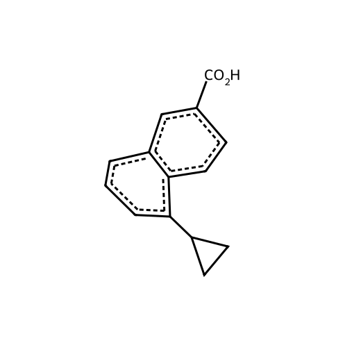 O=C(O)c1ccc2c(C3CC3)cccc2c1